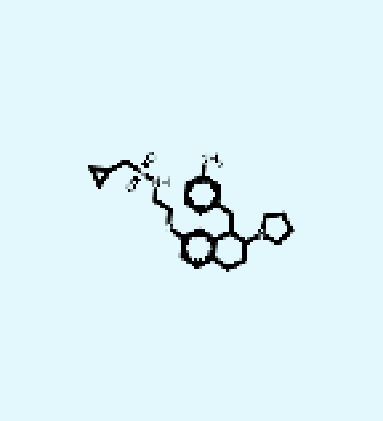 Nc1cccc(CC2c3cc(OCCNS(=O)(=O)CC4CC4)ccc3CCC2N2CCCC2)c1